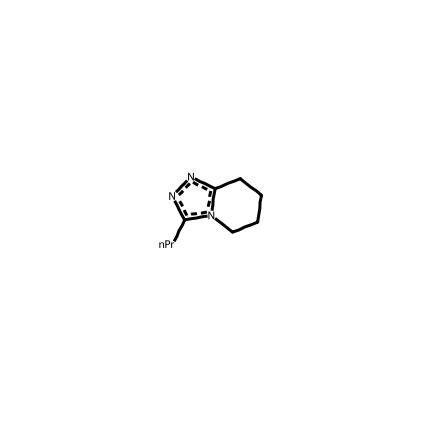 CCCc1nnc2n1CCCC2